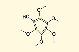 COc1c(O)c(OC)c(OC)c(OC)c1OC